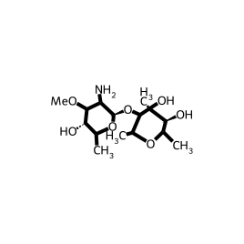 COC1C(N)[C@@H](OC2C(C)OC(C)[C@H](O)[C@]2(C)O)OC(C)[C@@H]1O